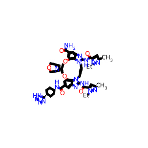 CCn1nc(C)cc1C(=O)Nc1nc2cc(C(N)=O)cc3c2n1C/C=C/Cn1c(NC(=O)c2cc(C)nn2CC)nc2cc(C(=O)N[C@H]4CC[C@H](c5nnn[nH]5)CC4)cc(c21)OC[C@@H](N1C2CCC1COC2)CO3